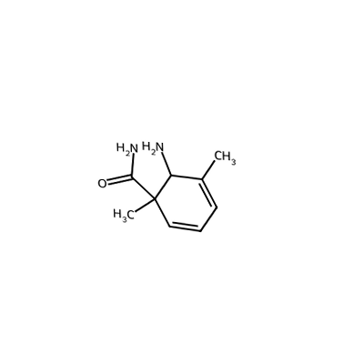 CC1=CC=CC(C)(C(N)=O)C1N